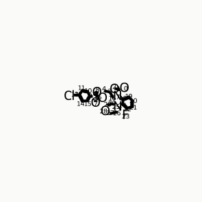 O=C1OC(COS(=O)(=O)c2ccc(Cl)cc2)CN1c1cccc(F)c1N1CCOCC1